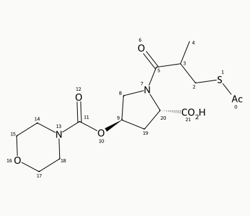 CC(=O)SCC(C)C(=O)N1C[C@H](OC(=O)N2CCOCC2)C[C@H]1C(=O)O